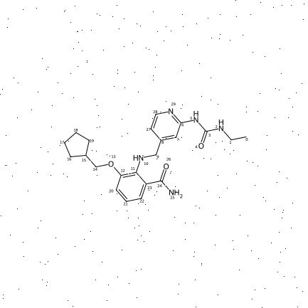 CCNC(=O)Nc1cc(CNc2c(OCC3CCCC3)cccc2C(N)=O)ccn1